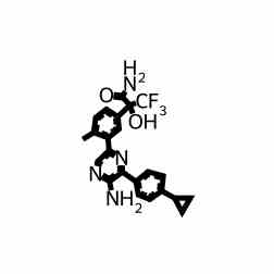 Cc1ccc(C(O)(C(N)=O)C(F)(F)F)cc1-c1cnc(N)c(-c2ccc(C3CC3)cc2)n1